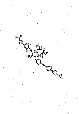 COC(=O)N[C@H](C(=O)N[C@@H](Cc1ccc(C#Cc2ccc(N3CCN(C4COC4)CC3)nc2)cc1)[C@@H](O)CNCc1c(F)cc(-c2ccn(C(F)F)n2)cc1F)C(C)(C)C(F)(F)F